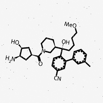 COCCCC[C@@](O)(c1ccc(C#N)cc1-c1cccc(C)c1)[C@@H]1CCCN(C(=O)[C@H]2C[C@@H](N)[C@@H](O)C2)C1